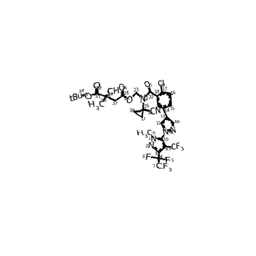 Cn1nc(C(F)(F)C(F)(F)F)c(C(F)(F)F)c1-n1cc(-c2ccc(Cl)c(C(=O)N(COC(=O)CC(C)(C)C(=O)OC(C)(C)C)C3(C#N)CC3)c2)cn1